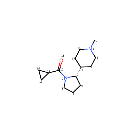 CN1CCC([C@@H]2CCCN2C(=O)C2CC2)CC1